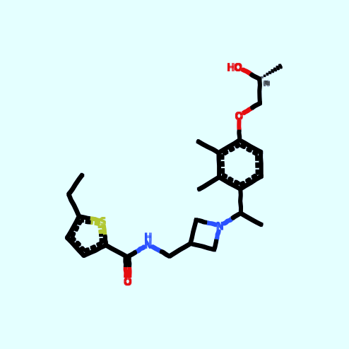 CCc1ccc(C(=O)NCC2CN(C(C)c3ccc(OC[C@@H](C)O)c(C)c3C)C2)s1